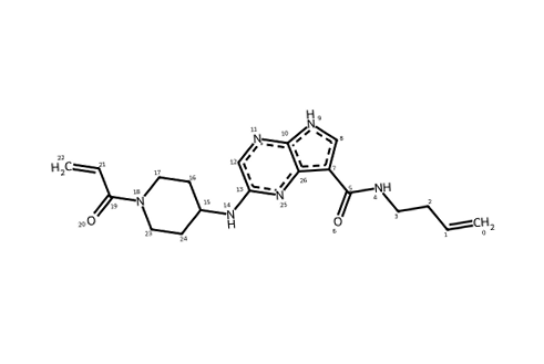 C=CCCNC(=O)c1c[nH]c2ncc(NC3CCN(C(=O)C=C)CC3)nc12